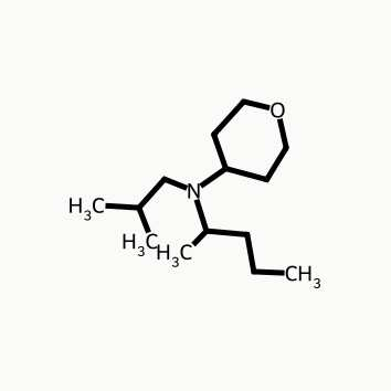 CCCC(C)N(CC(C)C)C1CCOCC1